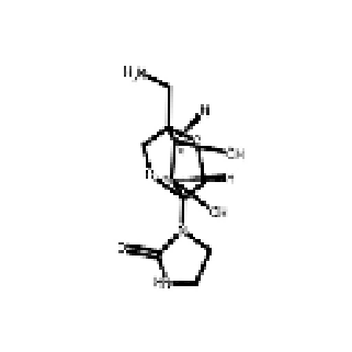 NCC12COC(N3CCNC3=O)(CO1)[C@@H](O)[C@H]2O